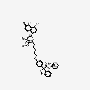 CC(C)(C)OC(=O)N(CCCCCOc1ccc(C(OC=O)(C(=O)O[C@H]2CN3CCC2CC3)c2ccccc2)cc1)C[C@H](O[Si](C)(C)C(C)(C)C)c1ccc(O)c2[nH]c(=O)ccc12